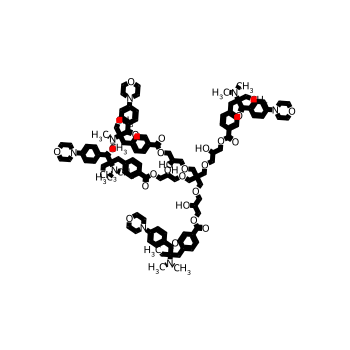 CCC(Cc1ccc(C(=O)OCC(O)COCC(COCC(O)COC(=O)c2ccc(CC(CC)(C(=O)c3ccc(N4CCOCC4)cc3)N(C)C)cc2)(COCC(O)COC(=O)c2ccc(CC(CC)(C(=O)c3ccc(N4CCOCC4)cc3)N(C)C)cc2)COCC(O)COC(=O)c2ccc(CC(CC)(C(=O)c3ccc(N4CCOCC4)cc3)N(C)C)cc2)cc1)(C(=O)c1ccc(N2CCOCC2)cc1)N(C)C